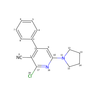 N#Cc1c(-c2ccccc2)cc(N2CCCC2)nc1Cl